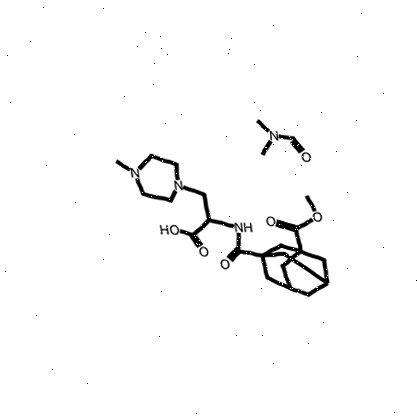 CN(C)C=O.COC(=O)C12CC3CC(CC(C(=O)NC(CN4CCN(C)CC4)C(=O)O)(C3)C1)C2